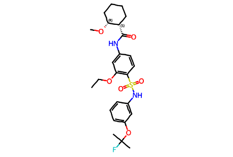 CCOc1cc(NC(=O)[C@H]2CCCC[C@H]2OC)ccc1S(=O)(=O)Nc1cccc(OC(C)(C)F)c1